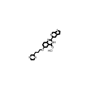 Cl.O=c1[nH]c(-c2cc3ccsc3cn2)nc2ccc(OCCCc3cnccn3)cc12